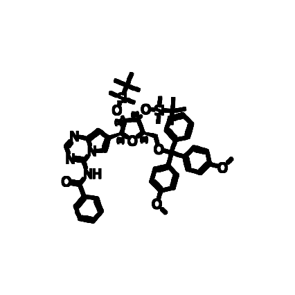 COc1ccc(C(OC[C@H]2O[C@@H](c3cc4ncnc(NC(=O)c5ccccc5)n4c3)[C@H](O[Si](C)(C)C(C)(C)C)[C@@H]2O[Si](C)(C)C(C)(C)C)(c2ccccc2)c2ccc(OC)cc2)cc1